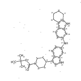 CC(C)(C)OC(=O)N1CCC(c2c[nH]c3cc(Nc4ccc5c6c([nH]c5n4)CCCC6)cnc23)CC1